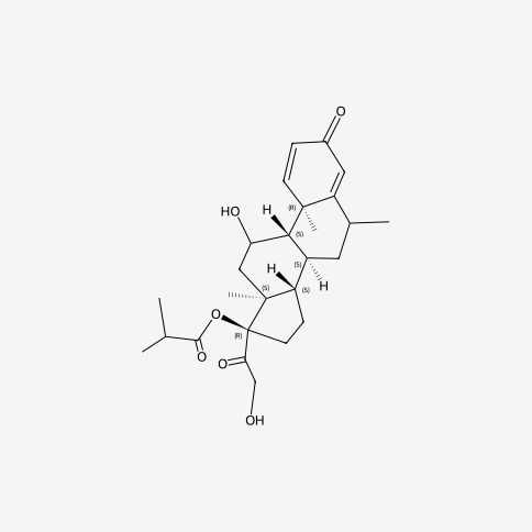 CC(C)C(=O)O[C@]1(C(=O)CO)CC[C@H]2[C@@H]3CC(C)C4=CC(=O)C=C[C@]4(C)[C@H]3C(O)C[C@@]21C